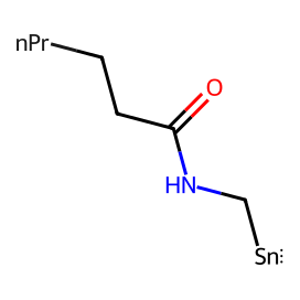 CCCCCC(=O)N[CH2][Sn]